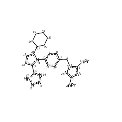 CCCc1nc(CCC)n(Cc2ccc(-n3c(-c4nnn[nH]4)ccc3C3CCCCC3)cc2)n1